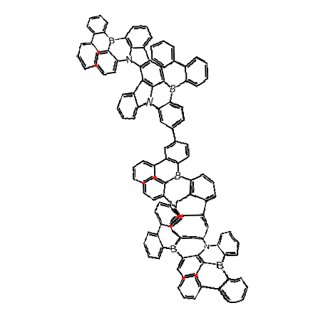 c1ccc(-c2ccccc2B2c3ccccc3N3c4cc5c6cccc7c6n(c5cc4B(c4ccccc4-c4ccccc4)c4cccc2c43)-c2ccccc2B7c2ccc(-c3ccc4c(c3)-n3c5ccccc5c5c3c(cc3c6cccc7c6n(c35)-c3ccccc3B7c3ccccc3-c3ccccc3)B4c3ccccc3-c3ccccc3)cc2-c2ccccc2)cc1